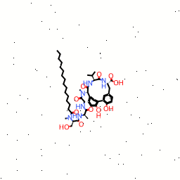 CCCCCCCCCCCCCCCC(=O)N(C)[C@H](CO)C(=O)N[C@H](C)C(=O)NCC(=O)N(C)[C@@H]1C(=O)N[C@@H](C(C)C)C(=O)N[C@H](C(=O)O)Cc2ccc(O)c(c2)-c2cc1ccc2O